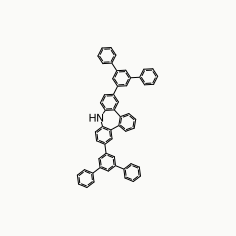 c1ccc(-c2cc(-c3ccccc3)cc(-c3ccc4c(c3)-c3ccccc3-c3cc(-c5cc(-c6ccccc6)cc(-c6ccccc6)c5)ccc3N4)c2)cc1